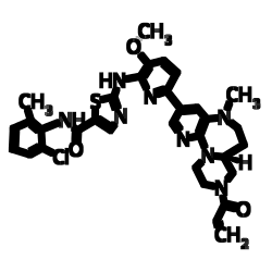 C=CC(=O)N1CCN2c3ncc(-c4ccc(OC)c(Nc5ncc(C(=O)Nc6c(C)cccc6Cl)s5)n4)cc3N(C)CC[C@@H]2C1